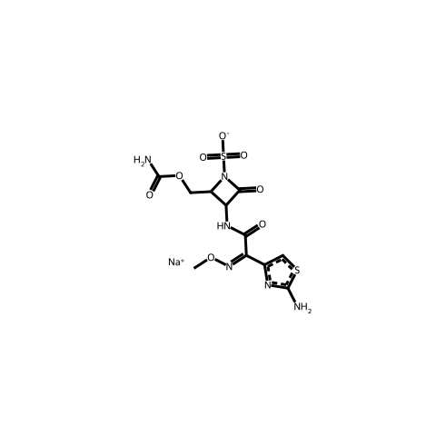 CON=C(C(=O)NC1C(=O)N(S(=O)(=O)[O-])C1COC(N)=O)c1csc(N)n1.[Na+]